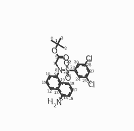 CC(C)(C)OC(=O)CN(c1cccc2c(N)cccc12)S(=O)(=O)c1cc(Cl)cc(Cl)c1